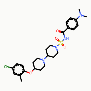 Cc1cc(Cl)ccc1OC1CCN(C2CCN(S(=O)(=O)NC(=O)c3ccc(N(C)C)cc3)CC2)CC1